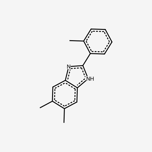 Cc1cc2nc(-c3ccccc3C)[nH]c2cc1C